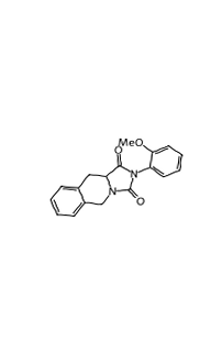 COc1ccccc1N1C(=O)C2Cc3ccccc3CN2C1=O